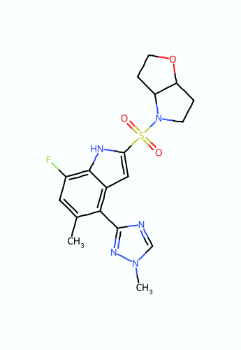 Cc1cc(F)c2[nH]c(S(=O)(=O)N3CCC4OCCC43)cc2c1-c1ncn(C)n1